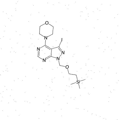 C[Si](C)(C)CCOCn1nc(I)c2c(N3CCOCC3)ncnc21